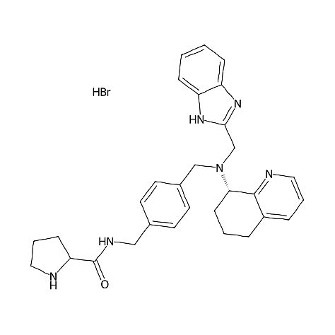 Br.O=C(NCc1ccc(CN(Cc2nc3ccccc3[nH]2)[C@H]2CCCc3cccnc32)cc1)C1CCCN1